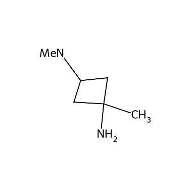 CNC1CC(C)(N)C1